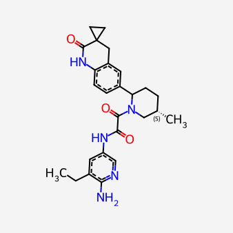 CCc1cc(NC(=O)C(=O)N2C[C@@H](C)CCC2c2ccc3c(c2)CC2(CC2)C(=O)N3)cnc1N